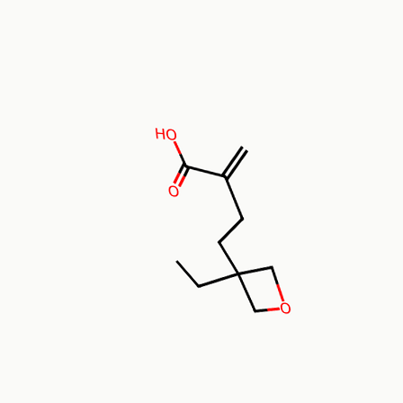 C=C(CCC1(CC)COC1)C(=O)O